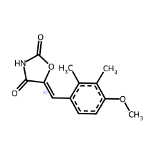 COc1ccc(/C=C2\OC(=O)NC2=O)c(C)c1C